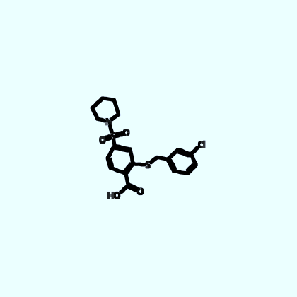 O=C(O)c1ccc(S(=O)(=O)N2CCCCC2)cc1SCc1cccc(Cl)c1